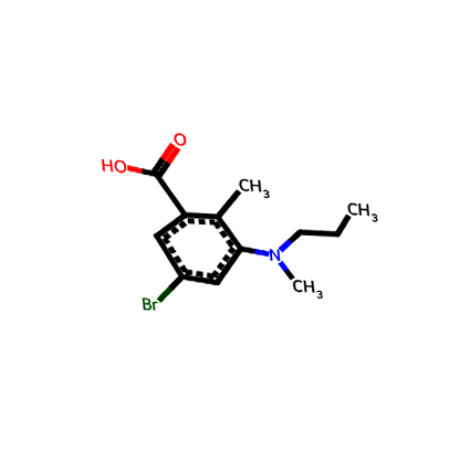 CCCN(C)c1cc(Br)cc(C(=O)O)c1C